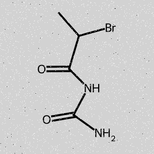 CC(Br)C(=O)NC(N)=O